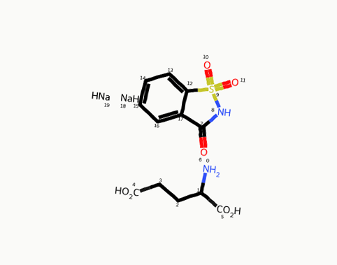 NC(CCC(=O)O)C(=O)O.O=C1NS(=O)(=O)c2ccccc21.[NaH].[NaH]